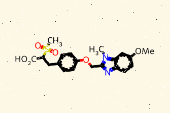 COc1ccc2nc(COc3ccc(CC(C(=O)O)S(C)(=O)=O)cc3)n(C)c2c1